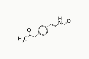 CC(=O)Cc1ccc(/C=C/NC=O)cc1